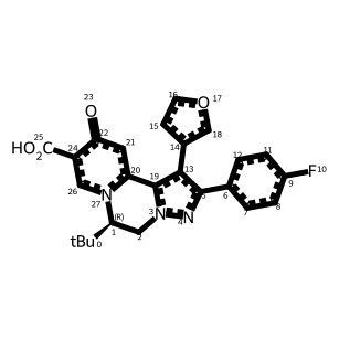 CC(C)(C)[C@@H]1Cn2nc(-c3ccc(F)cc3)c(-c3ccoc3)c2-c2cc(=O)c(C(=O)O)cn21